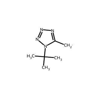 [CH2]c1nnnn1C(C)(C)C